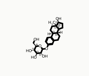 C[C@]12CC[C@@H]3c4ccc(OC5O[C@H](CO)[C@@H](O)[C@H](O)[C@H]5O)cc4CC[C@H]3[C@@H]1CC[C@@H]2O